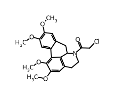 COc1cc2c(cc1OC)-c1c(OC)c(OC)cc3c1C(C2)N(C(=O)CCl)CC3